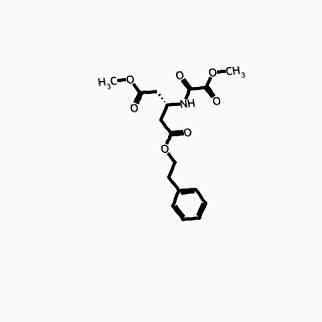 COC(=O)C[C@@H](CC(=O)OCCc1ccccc1)NC(=O)C(=O)OC